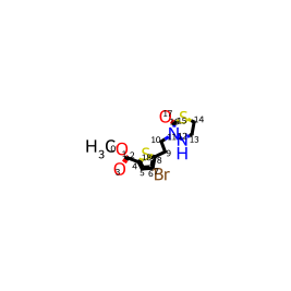 COC(=O)c1cc(Br)c(CCN2NCCSC2=O)s1